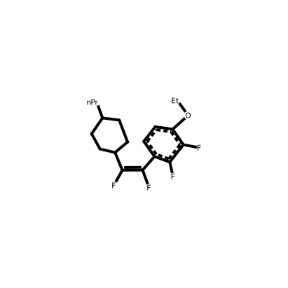 CCCC1CCC(/C(F)=C(/F)c2ccc(OCC)c(F)c2F)CC1